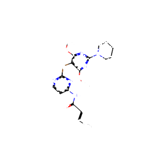 CC=CC(=O)Nc1ccnc(Sc2c(OC)nc(N3CCCCC3)nc2OC)n1